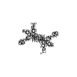 CC(C)COc1ccc(C(OC(=O)C(O)C(O)C(=O)OC(C(=O)N(Cc2ccc(F)cc2)C2CCN(CCC3CCOCO3)CC2)c2ccc(OCC(C)C)cc2)C(=O)N(Cc2ccc(F)cc2)C2CCN(CCC3CCOCO3)CC2)cc1